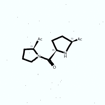 CC(=O)[C@@H]1CC[C@H](C(=O)N2CCC[C@H]2C(C)=O)N1